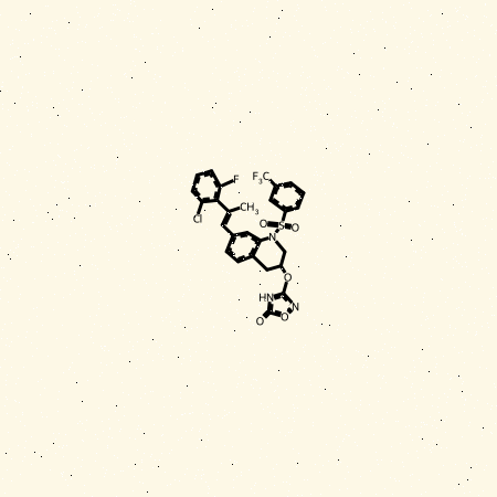 CC(=Cc1ccc2c(c1)N(S(=O)(=O)c1cccc(C(F)(F)F)c1)CC(Oc1noc(=O)[nH]1)C2)c1c(F)cccc1Cl